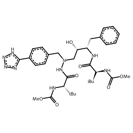 CC[C@H](C)[C@H](NC(=O)OC)C(=O)N[C@@H](Cc1ccccc1)[C@@H](O)CN(Cc1ccc(-c2nnn[nH]2)cc1)NC(=O)[C@@H](NC(=O)OC)C(C)(C)C